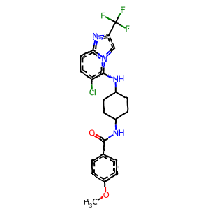 COc1ccc(C(=O)NC2CCC(Nc3c(Cl)ccc4nc(C(F)(F)F)cn34)CC2)cc1